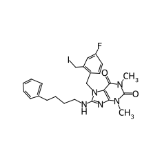 Cn1c(=O)c2c(nc(NCCCCc3ccccc3)n2Cc2ccc(F)cc2CI)n(C)c1=O